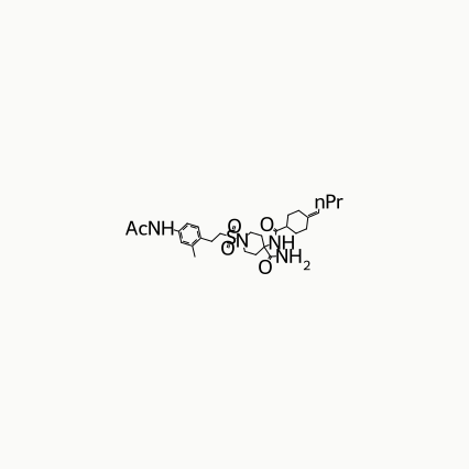 CCCC=C1CCC(C(=O)NC2(C(N)=O)CCN(S(=O)(=O)CCc3ccc(NC(C)=O)cc3C)CC2)CC1